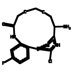 NC1CCCCCC(=O)Nc2cc(F)ccc2-c2nc1[nH]c2Cl